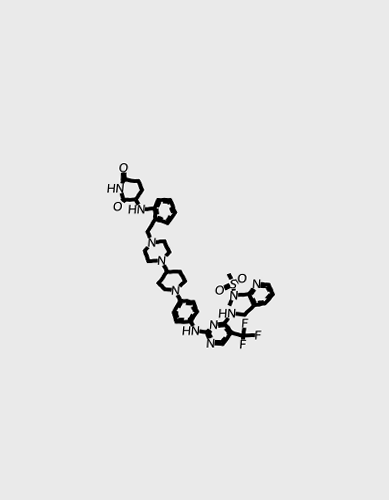 CN(c1ncccc1CNc1nc(Nc2ccc(N3CCC(N4CCN(Cc5ccccc5NC5CCC(=O)NC5=O)CC4)CC3)cc2)ncc1C(F)(F)F)S(C)(=O)=O